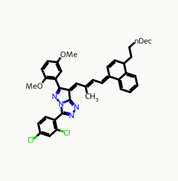 CCCCCCCCCCCCC1C=C\C(=C/C=C(C)/C=c2/c(-c3cc(OC)ccc3OC)nn3c(-c4ccc(Cl)cc4Cl)nnc23)c2ccccc21